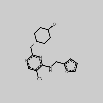 N#Cc1cnc(C[C@H]2CC[C@H](O)CC2)nc1NCc1ccco1